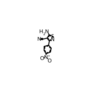 N#Cc1c(-c2ccc([N+](=O)[O-])cc2)nsc1N